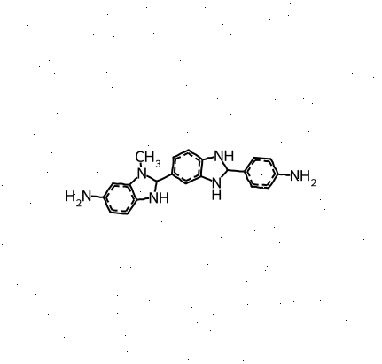 CN1c2cc(N)ccc2NC1c1ccc2c(c1)NC(c1ccc(N)cc1)N2